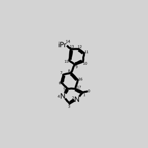 Cc1ncnc2ccc(-c3cccc(C(C)C)c3)cc12